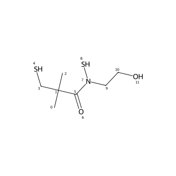 CC(C)(CS)C(=O)N(S)CCO